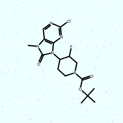 Cn1c(=O)n(C2CCN(C(=O)OC(C)(C)C)CC2F)c2nc(Cl)ncc21